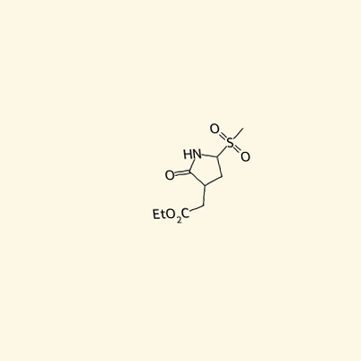 CCOC(=O)CC1CC(S(C)(=O)=O)NC1=O